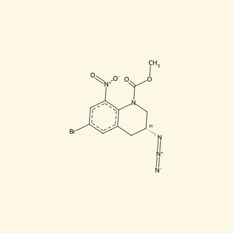 COC(=O)N1C[C@H](N=[N+]=[N-])Cc2cc(Br)cc([N+](=O)[O-])c21